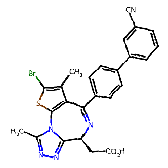 Cc1c(Br)sc2c1C(c1ccc(-c3cccc(C#N)c3)cc1)=N[C@@H](CC(=O)O)c1nnc(C)n1-2